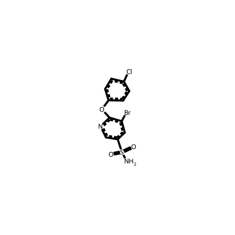 NS(=O)(=O)c1cnc(Oc2ccc(Cl)cc2)c(Br)c1